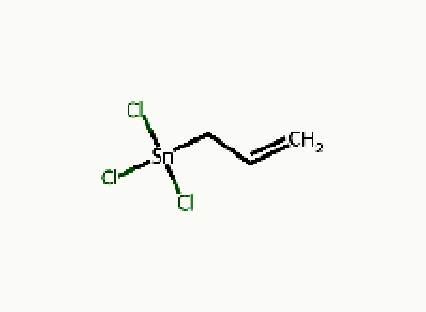 C=C[CH2][Sn]([Cl])([Cl])[Cl]